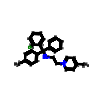 Cc1ccc(C(NCC[n+]2ccc(C)cc2)(c2ccccc2)c2ccccc2Cl)cc1